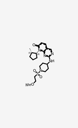 COCCS(=O)(=O)N1CCC(Nc2ncc3ccc(=O)n([C@@H]4CCC[C@@H]4C)c3n2)CC1